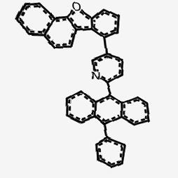 c1ccc(-c2c3ccccc3c(-c3ccc(-c4cccc5oc6c7ccccc7ccc6c45)cn3)c3ccccc23)cc1